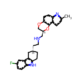 Cc1ccc2c3c(ccc2n1)OC[C@H](CNCC[C@@H]1CCc2[nH]c4ccc(F)cc4c2C1)O3